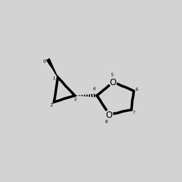 C[C@@H]1C[C@H]1C1OCCO1